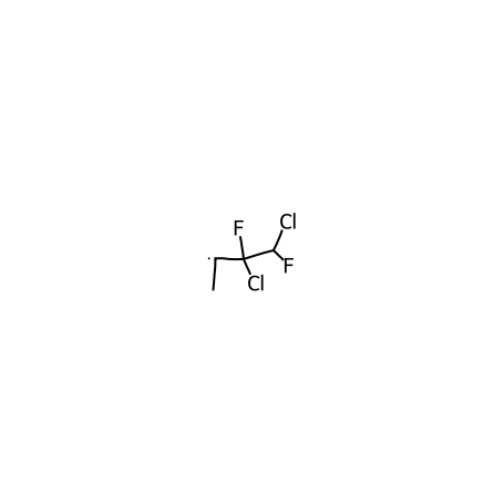 C[CH]C(F)(Cl)C(F)Cl